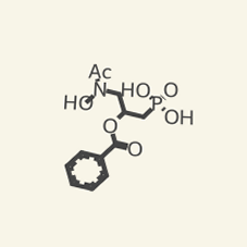 CC(=O)N(O)CC(CP(=O)(O)O)OC(=O)c1ccccc1